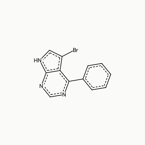 Brc1c[nH]c2ncnc(-c3ccccc3)c12